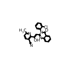 Cc1ccc(C#N)c(C(O)=Cc2nc3ccccc3c(=O)n2-c2ccccc2Cl)n1